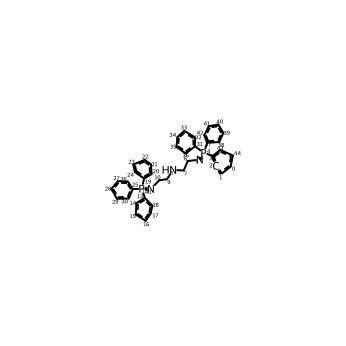 c1ccc(P(=NCCNCCN=P(c2ccccc2)(c2ccccc2)c2ccccc2)(c2ccccc2)c2ccccc2)cc1